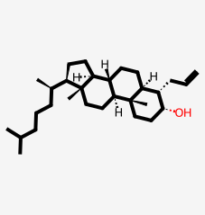 C=CC[C@@H]1[C@H](O)CC[C@@]2(C)[C@H]1CC[C@@H]1[C@@H]2CC[C@]2(C)[C@@H]([C@H](C)CCCC(C)C)CC[C@@H]12